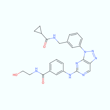 O=C(NCCO)c1cccc(Nc2ncc3nnn(-c4cccc(CNC(=O)C5CC5)c4)c3n2)c1